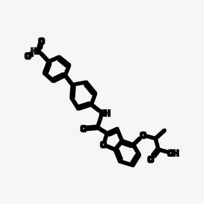 CC(Oc1cccc2oc(C(=O)Nc3ccc(-c4ccc([SH](=O)=O)cc4)cc3)cc12)C(=O)O